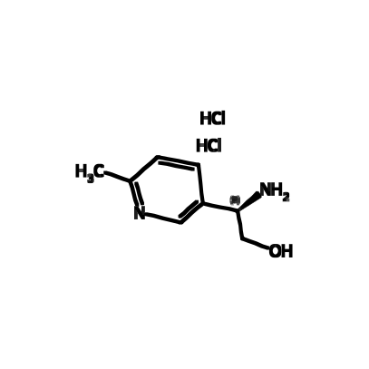 Cc1ccc([C@@H](N)CO)cn1.Cl.Cl